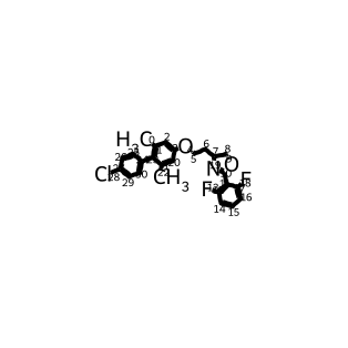 Cc1cc(OCCC2COC(c3c(F)cccc3F)=N2)cc(C)c1-c1ccc(Cl)cc1